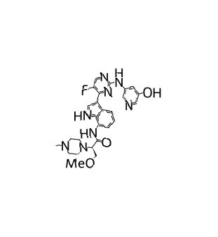 COC[C@H](C(=O)Nc1cccc2c(-c3nc(Nc4cncc(O)c4)ncc3F)c[nH]c12)N1CCN(C)CC1